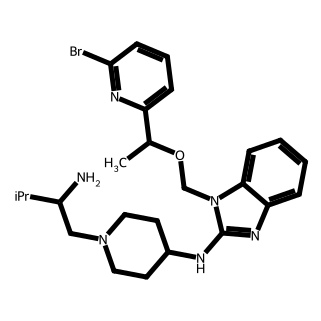 CC(OCn1c(NC2CCN(CC(N)C(C)C)CC2)nc2ccccc21)c1cccc(Br)n1